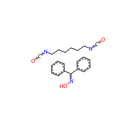 O=C=NCCCCCCN=C=O.ON=C(c1ccccc1)c1ccccc1